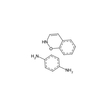 C1=Cc2ccccc2ON1.Nc1ccc(N)cc1